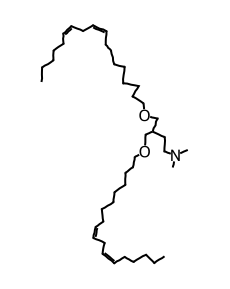 CCCCC/C=C\C/C=C\CCCCCCCCOCC(CCN(C)C)COCCCCCCCC/C=C\C/C=C\CCCCC